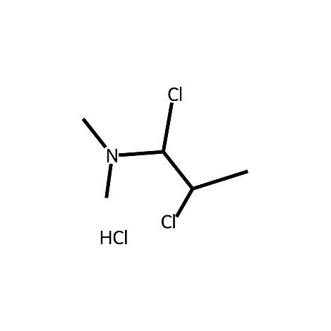 CC(Cl)C(Cl)N(C)C.Cl